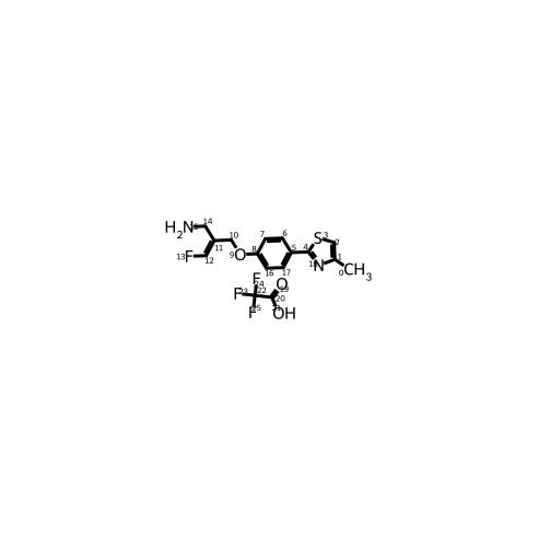 Cc1csc(-c2ccc(OCC(=CF)CN)cc2)n1.O=C(O)C(F)(F)F